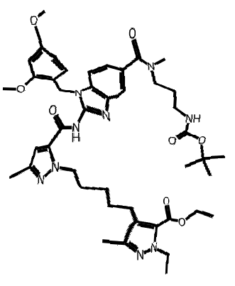 CCOC(=O)c1c(CCCCCn2nc(C)cc2C(=O)Nc2nc3cc(C(=O)N(C)CCCNC(=O)OC(C)(C)C)ccc3n2Cc2ccc(OC)cc2OC)c(C)nn1CC